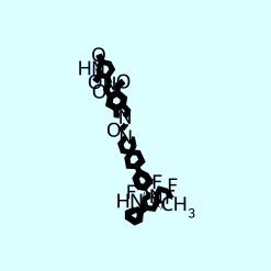 C[C@@H]1Cc2c([nH]c3ccccc23)[C@@H](c2c(F)cc(C3=CCC4(CC3)CCN(C(=O)CN3Cc5cc6c(cc5C3)C(=O)N(C3CCC(=O)NC3=O)C6=O)CC4)cc2F)N1CC(F)F